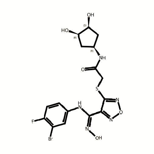 O=C(CSc1nonc1C(=NO)Nc1ccc(F)c(Br)c1)N[C@H]1C[C@@H](O)[C@@H](O)C1